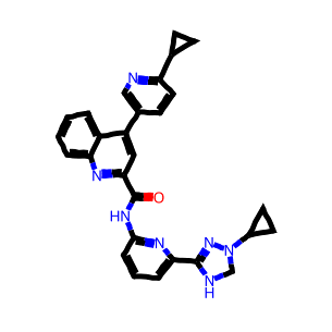 O=C(Nc1cccc(C2=NN(C3CC3)CN2)n1)c1cc(-c2ccc(C3CC3)nc2)c2ccccc2n1